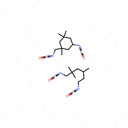 CC(CCN=C=O)CC(C)(C)CN=C=O.CC1(C)CC(N=C=O)CC(C)(CN=C=O)C1